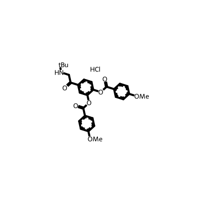 COc1ccc(C(=O)Oc2ccc(C(=O)CNC(C)(C)C)cc2OC(=O)c2ccc(OC)cc2)cc1.Cl